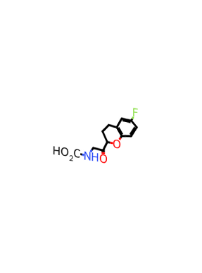 O=C(O)NCC(=O)C1CCc2cc(F)ccc2O1